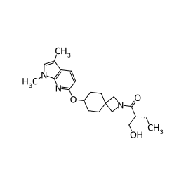 CC[C@H](CO)C(=O)N1CC2(CCC(Oc3ccc4c(C)cn(C)c4n3)CC2)C1